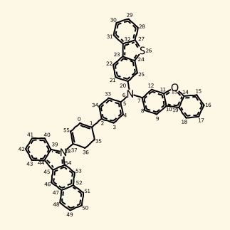 C1=C(c2ccc(N(c3ccc4c(c3)oc3ccccc34)c3ccc4c(c3)sc3ccccc34)cc2)CCC(n2c3ccccc3c3cc4ccccc4cc32)=C1